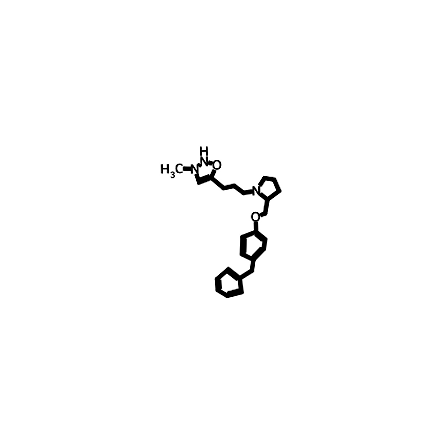 CN1C=C(CCCN2CCCC2COc2ccc(Cc3ccccc3)cc2)ON1